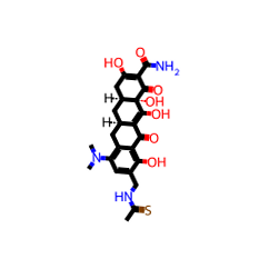 CC(=S)NCc1cc(N(C)C)c2c(c1O)C(=O)C1=C(O)[C@]3(O)C(=O)C(C(N)=O)=C(O)C[C@@H]3C[C@@H]1C2